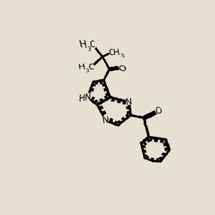 CC(C)(C)C(=O)c1c[nH]c2ncc(C(=O)c3ccccc3)nc12